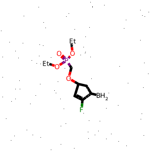 BC1CC(OCP(=O)(OCC)OCC)C=C1F